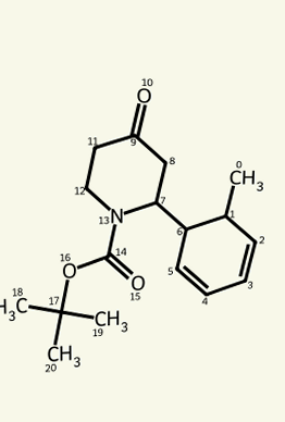 CC1C=CC=CC1C1CC(=O)CCN1C(=O)OC(C)(C)C